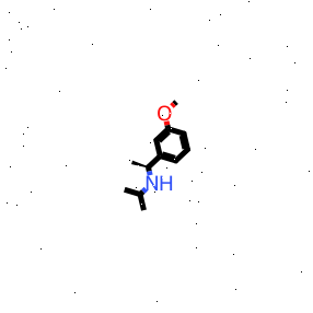 COc1cccc([C@H](C)NC(C)C)c1